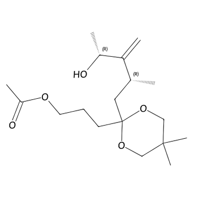 C=C([C@H](C)CC1(CCCOC(C)=O)OCC(C)(C)CO1)[C@@H](C)O